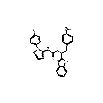 COc1ccc(CC(NC(=O)Nc2ccnn2-c2ccc(F)cc2)c2nc3ccccc3[nH]2)cc1